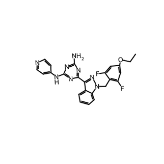 CCOc1cc(F)c(Cn2nc(-c3nc(N)nc(Nc4ccncc4)n3)c3ccccc32)c(F)c1